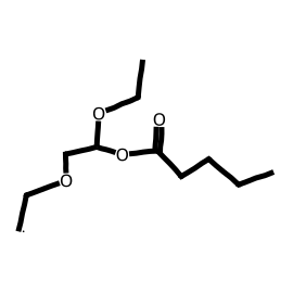 [CH2]COCC(OCC)OC(=O)CCCC